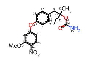 COc1cc(Oc2ccc(CC(C)(C)OC(N)=O)cc2)ccc1[N+](=O)[O-]